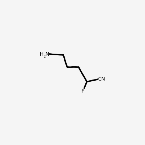 N#CC(F)CCCN